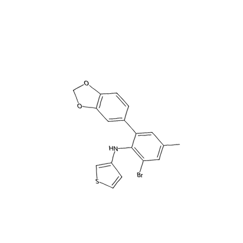 Cc1cc(Br)c(Nc2ccsc2)c(-c2ccc3c(c2)OCO3)c1